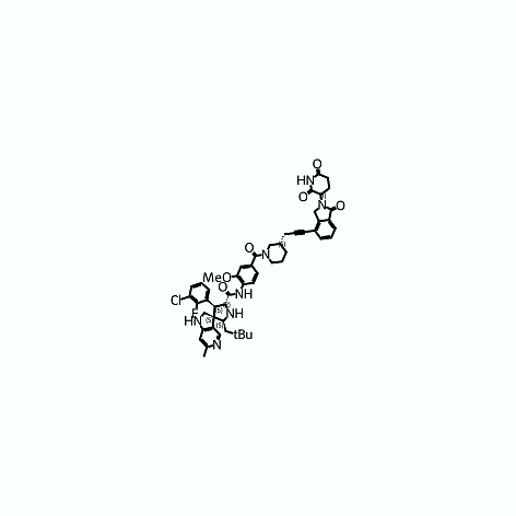 COc1cc(C(=O)N2CCC[C@@H](CC#Cc3cccc4c3CN([C@@H]3CCC(=O)NC3=O)C4=O)C2)ccc1NC(=O)[C@@H]1N[C@@H](CC(C)(C)C)[C@@]2(CNc3cc(C)ncc32)[C@H]1c1cccc(Cl)c1F